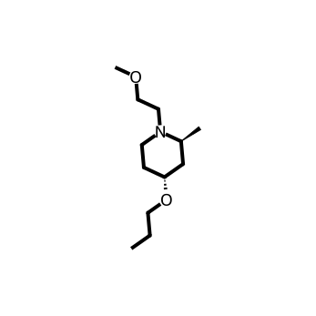 CCCO[C@@H]1CCN(CCOC)[C@@H](C)C1